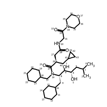 CC(C)C[C@H](O)[C@H](O)[C@H](CC1CCCCC1)N(CC1CCCCC1)C(=O)[C@@H](CC(=O)NCC(=O)N1CCOCC1)CC1CC1